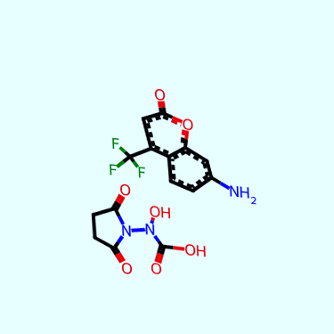 Nc1ccc2c(C(F)(F)F)cc(=O)oc2c1.O=C(O)N(O)N1C(=O)CCC1=O